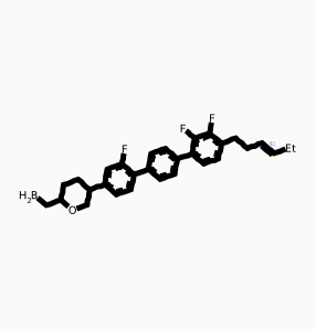 BCC1CCC(c2ccc(-c3ccc(-c4ccc(CC/C=C/CC)c(F)c4F)cc3)c(F)c2)CO1